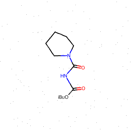 CC(C)COC(=O)NC(=O)N1CCCCC1